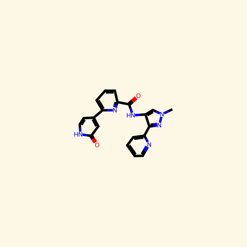 Cn1cc(NC(=O)c2cccc(-c3cc[nH]c(=O)c3)n2)c(-c2ccccn2)n1